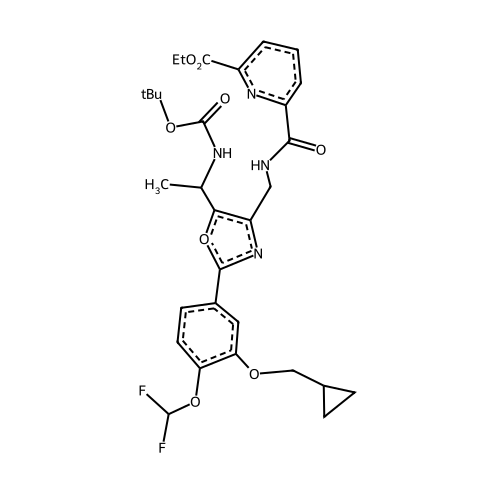 CCOC(=O)c1cccc(C(=O)NCc2nc(-c3ccc(OC(F)F)c(OCC4CC4)c3)oc2C(C)NC(=O)OC(C)(C)C)n1